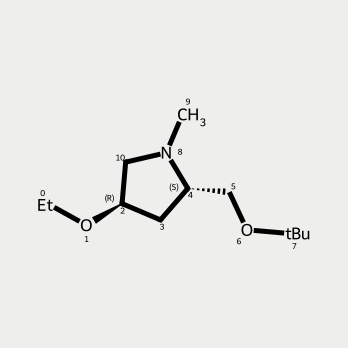 CCO[C@@H]1C[C@@H](COC(C)(C)C)N(C)C1